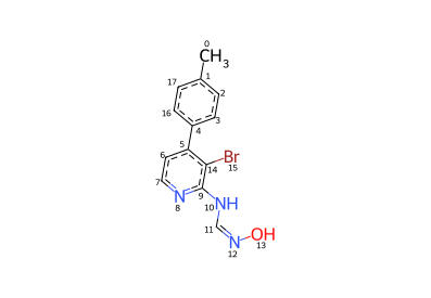 Cc1ccc(-c2ccnc(N/C=N\O)c2Br)cc1